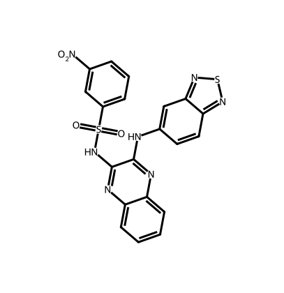 O=[N+]([O-])c1cccc(S(=O)(=O)Nc2nc3ccccc3nc2Nc2ccc3nsnc3c2)c1